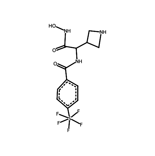 O=C(NC(C(=O)NO)C1CNC1)c1ccc(S(F)(F)(F)(F)F)cc1